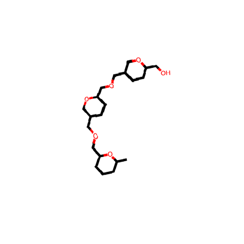 CC1CCCC(COCC2CCC(COCC3CCC(CO)OC3)OC2)O1